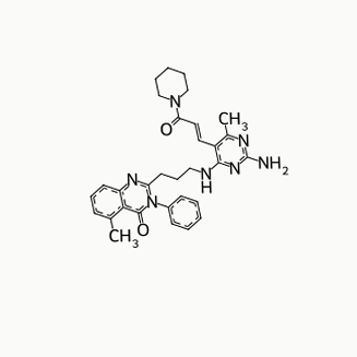 Cc1nc(N)nc(NCCCc2nc3cccc(C)c3c(=O)n2-c2ccccc2)c1/C=C/C(=O)N1CCCCC1